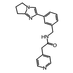 O=C(Cc1ccncc1)NCc1cccc(-c2cn3c(n2)CCC3)c1